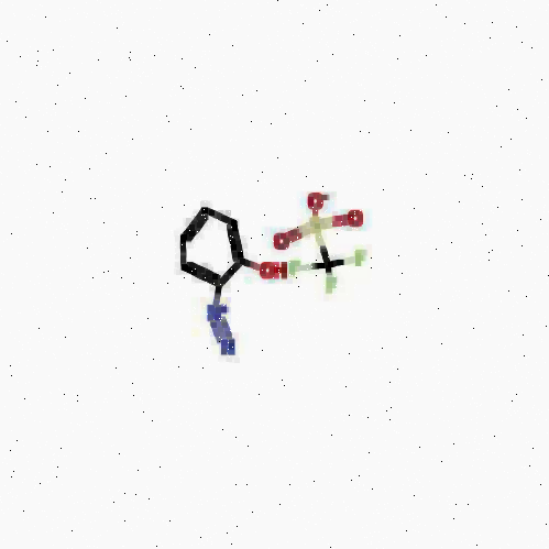 N#[N+]c1ccccc1O.O=S(=O)([O-])C(F)(F)F